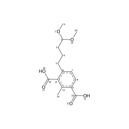 COC(CCCc1ccc(C(=O)O)c(C)c1C(=O)O)OC